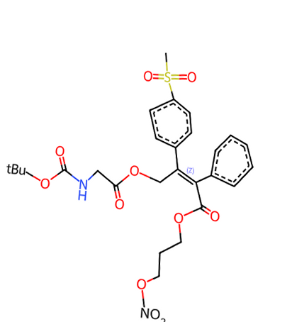 CC(C)(C)OC(=O)NCC(=O)OC/C(=C(\C(=O)OCCCO[N+](=O)[O-])c1ccccc1)c1ccc(S(C)(=O)=O)cc1